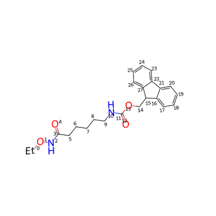 CCONC(=O)CCCCCNC(=O)OCC1c2ccccc2-c2ccccc21